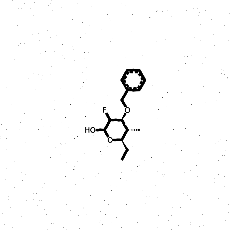 CC[C@H]1OC(O)C(F)[C@@H](OCc2ccccc2)[C@@H]1C